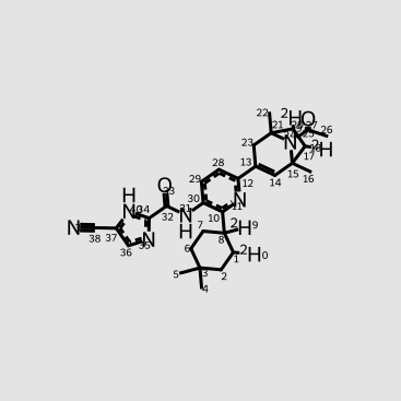 [2H]C1CC(C)(C)CCC1([2H])c1nc(C2=CC3(C)C([2H])C([2H])C(C)(C2)N3C(C)=O)ccc1NC(=O)c1ncc(C#N)[nH]1